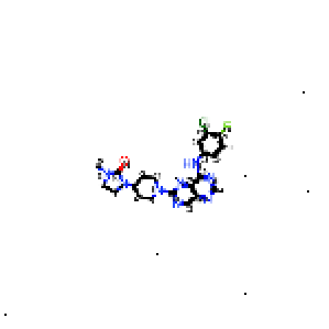 CN1CCN(C2CCN(c3ncc4ncnc(Nc5ccc(F)c(Cl)c5)c4n3)CC2)C1=O